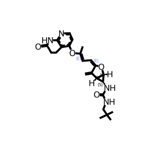 C=C1/C(=C\C=C(/C)Oc2ccnc3c2CCC(=O)N3)O[C@@H]2[C@@H](NC(=O)NCC(C)(C)C)[C@H]12